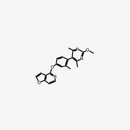 COc1nc(C)c(-c2ccc(Oc3nccc4occc34)cc2C)c(C)n1